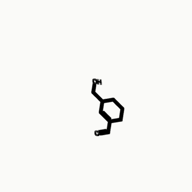 O=CC1=CC(CO)CCC1